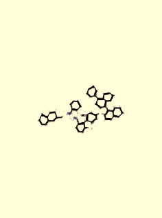 C=N/C(=N\C(=N/Cc1ccc2ccccc2c1)c1ccccc1)c1cccc2oc3cc(-n4c5ccc6ccccc6c5c5c6ccccc6c(-c6ccccc6)cc54)ccc3c12